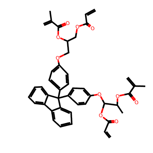 C=CC(=O)OCC(COc1ccc(C2(c3ccc(OC(OC(=O)C=C)C(C)OC(=O)C(=C)C)cc3)c3ccccc3-c3ccccc32)cc1)OC(=O)C(=C)C